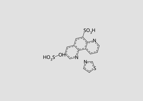 O=S(=O)(O)O.O=S(=O)(O)c1cc2cccnc2c2cccnc12.c1cscn1